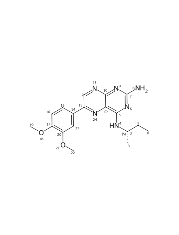 CC[C@H](C)Nc1nc(N)nc2ncc(-c3ccc(OC)c(OC)c3)nc12